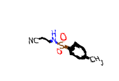 Cc1ccc(S(=O)(=O)NCCC#N)cc1